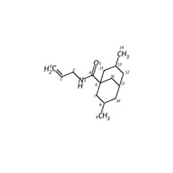 C=CCNC(=O)C12CC(C)CC(CC(C)C1)C2